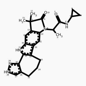 CC(C(=O)NC1CC1)N1C(=O)C(C)(C)c2cc3[nH]c4c(c3cc21)CCCc1c[nH]nc1-4